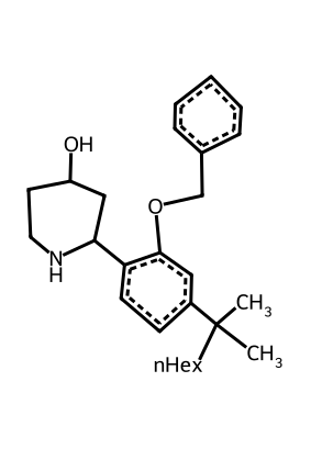 CCCCCCC(C)(C)c1ccc(C2CC(O)CCN2)c(OCc2ccccc2)c1